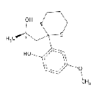 COc1ccc(O)c(C2(C[C@@H](C)O)SCCCS2)c1